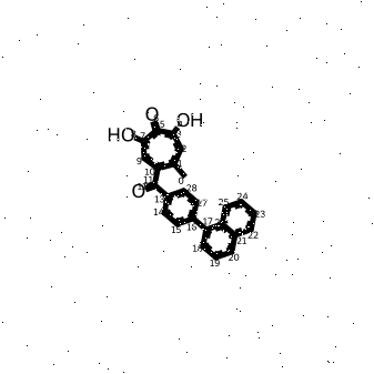 Cc1cc(O)c(=O)c(O)cc1C(=O)c1ccc(-c2cccc3ccccc23)cc1